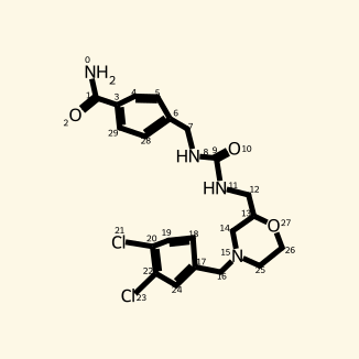 NC(=O)c1ccc(CNC(=O)NCC2CN(Cc3ccc(Cl)c(Cl)c3)CCO2)cc1